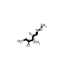 CC[C@H](Cl)[C@@H](C)[C@H](F)C=NOC